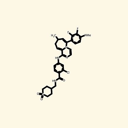 CNc1ccc(C2=CC(C)CC=C3C(Nc4ccc(C(=O)NCC5CCS(=O)(=O)CC5)c(Cl)c4)=NC=CN32)c(F)c1F